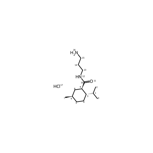 CC(C)[C@@H]1CC[C@@H](C)C[C@H]1C(=O)NCCCN.Cl